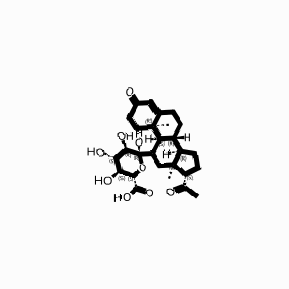 CC(=O)[C@H]1CC[C@@H]2[C@H]3CCC4=CC(=O)CC[C@]4(C)[C@@H]3C([C@@]3(O)O[C@H](C(=O)O)[C@@H](O)[C@H](O)[C@H]3O)C[C@]12C